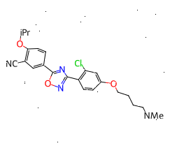 CNCCCCOc1ccc(-c2noc(-c3ccc(OC(C)C)c(C#N)c3)n2)c(Cl)c1